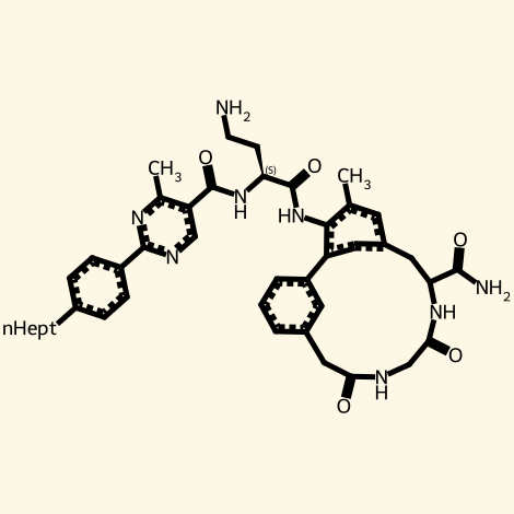 CCCCCCCc1ccc(-c2ncc(C(=O)N[C@@H](CCN)C(=O)Nc3c(C)cc4cc3-c3cccc(c3)CC(=O)NCC(=O)NC(C(N)=O)C4)c(C)n2)cc1